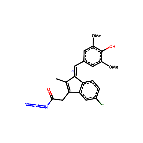 COc1cc(/C=C2/C(C)=C(CC(=O)N=[N+]=[N-])c3cc(F)ccc32)cc(OC)c1O